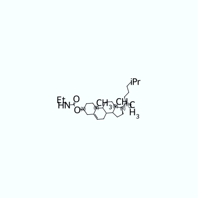 CCNC(=O)O[C@H]1CC[C@@]2(C)C(=CCC3C2CC[C@@]2(C)C3CC[C@@H]2[C@@H](C)CCCC(C)C)C1